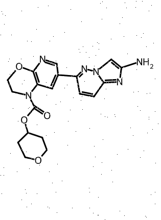 Nc1cn2nc(-c3cnc4c(c3)N(C(=O)OC3CCOCC3)CCO4)ccc2n1